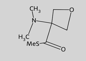 CSC(=O)C1(N(C)C)COC1